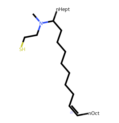 CCCCCCCC/C=C\CCCCCCCC(CCCCCCC)N(C)CCS